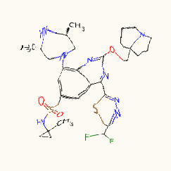 C[C@H]1CN(c2cc(S(=O)(=O)NC3(C)CC3)cc3c(-c4nnc(C(F)F)s4)nc(OCC45CCCN4CCC5)nc23)C[C@H](C)N1